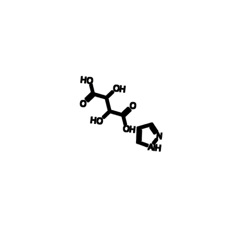 C1=[CH][AlH][N]=C1.O=C(O)C(O)C(O)C(=O)O